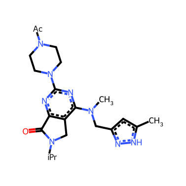 CC(=O)N1CCN(c2nc3c(c(N(C)Cc4cc(C)[nH]n4)n2)CN(C(C)C)C3=O)CC1